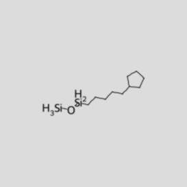 [SiH3]O[SiH2]CCCCCC1CCCC1